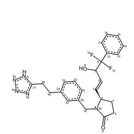 O=C1CC[C@H](C=CC(O)C(F)(F)c2ccccc2)N1Cc1cccc(CCc2nnn[nH]2)c1